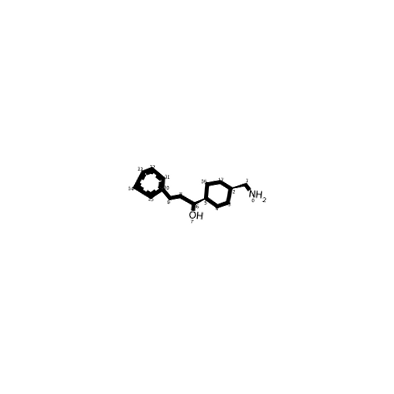 NC[C@H]1CC[C@@H](C(O)CCc2ccccc2)CC1